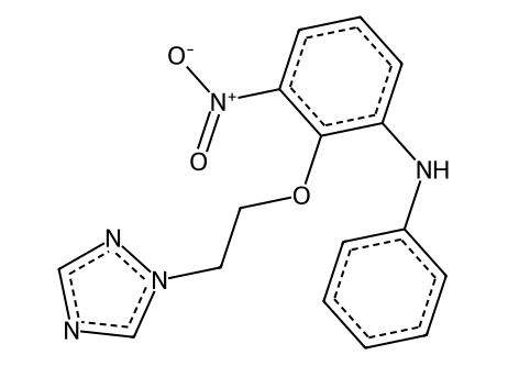 O=[N+]([O-])c1cccc(Nc2ccccc2)c1OCCn1cncn1